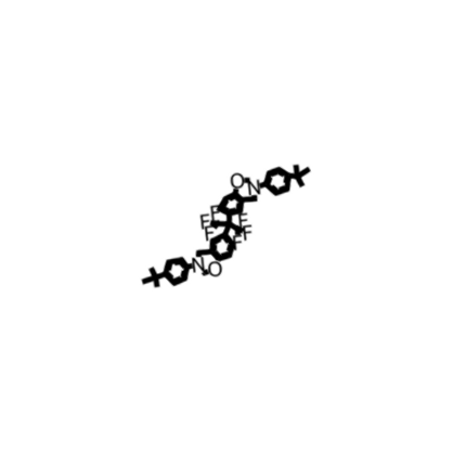 CC(C)(C)c1ccc(N2COc3ccc(C(c4ccc5c(c4)CN(c4ccc(C(C)(C)C)cc4)CO5)(C(F)(F)F)C(F)(F)F)cc3C2)cc1